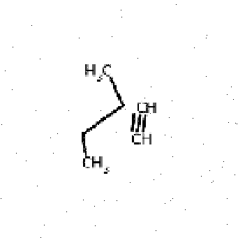 C#C.CCCC